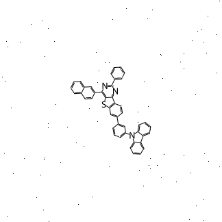 c1ccc(-c2nc(-c3ccc4ccccc4c3)c3sc4cc(-c5cccc(-n6c7ccccc7c7ccccc76)c5)ccc4c3n2)cc1